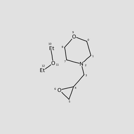 C1CN(CC2CO2)CCO1.CCOCC